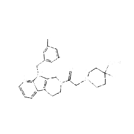 CC1(C(=O)O)CCN(CC(=O)N2CCc3c(n(Cc4cccc(F)c4)c4ncccc34)C2)CC1